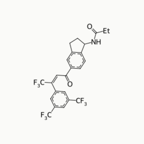 CCC(=O)NC1CCc2cc(C(=O)/C=C(\c3cc(C(F)(F)F)cc(C(F)(F)F)c3)C(F)(F)F)ccc21